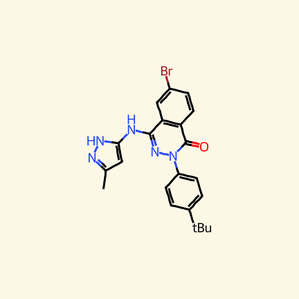 Cc1cc(Nc2nn(-c3ccc(C(C)(C)C)cc3)c(=O)c3ccc(Br)cc23)[nH]n1